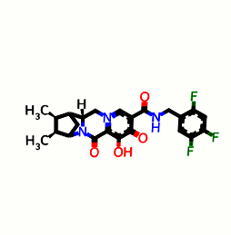 C[C@@H]1C2CC([C@@H]1C)[C@@H]1Cn3cc(C(=O)NCc4cc(F)c(F)cc4F)c(=O)c(O)c3C(=O)N21